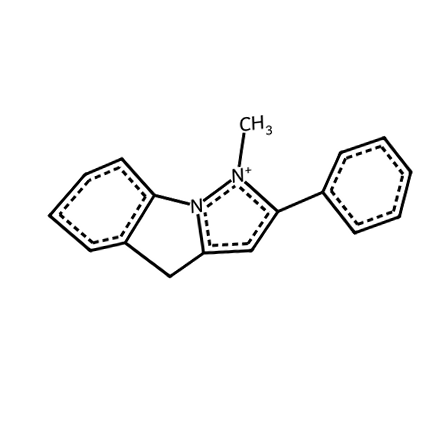 C[n+]1c(-c2ccccc2)cc2n1-c1ccccc1C2